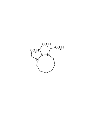 O=C(O)CN1CCCCCCN(CC(=O)O)N1CC(=O)O